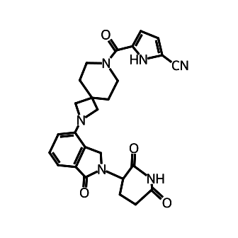 N#Cc1ccc(C(=O)N2CCC3(CC2)CN(c2cccc4c2CN(C2CCC(=O)NC2=O)C4=O)C3)[nH]1